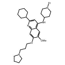 CCN1CCC(Nc2cc(C3CCCCC3)nc3cc(OCCCN4CCCC4)c(OC)cc23)CC1